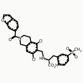 CS(=O)(=O)c1cccc(C[C@H](NCc2c(Cl)cc3c(c2Cl)CCN(C(=O)c2ccc4ccoc4c2)C3)C(=O)O)c1